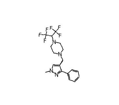 Cn1cc(CN2CCN(C(C(F)(F)F)C(F)(F)F)CC2)c(-c2ccccc2)n1